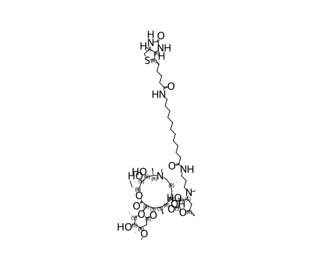 CC[C@H]1OC(=O)[C@H](C)[C@@H](O[C@H]2C[C@@](C)(OC)[C@@H](O)[C@H](C)O2)[C@H](C)[C@@H](O[C@@H]2O[C@H](C)C[C@H](N(C)CCCNC(=O)CCCCCCCCCCCNC(=O)CCCC[C@H]3SC[C@H]4NC(=O)N[C@H]43)[C@H]2O)[C@](C)(O)C[C@@H](C)CN(C)[C@H](C)[C@@H](O)[C@]1(C)O